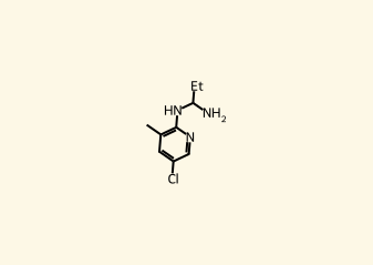 CCC(N)Nc1ncc(Cl)cc1C